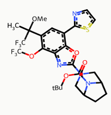 COC(C)(c1cc(-c2nccs2)c2oc(N3CC4CCC(C3)N4C(=O)OC(C)(C)C)nc2c1OC(F)(F)F)C(F)(F)F